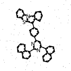 c1ccc2c(-c3cc(-c4ccc(-c5c6ccccc6n6c5sc5ccccc56)cc4)nc(-c4cccc5ccccc45)n3)cccc2c1